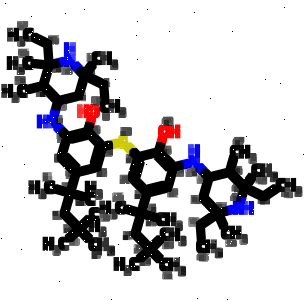 CCC1(C)CC(Nc2cc(C(C)(C)CC(C)(C)C)cc(Sc3cc(C(C)(C)CC(C)(C)C)cc(NC4CC(C)(CC)NC(C)(CC)C4C)c3O)c2O)C(C)C(C)(CC)N1